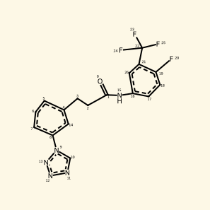 O=C(CCc1cccc(-n2cnnn2)c1)Nc1ccc(F)c(C(F)(F)F)c1